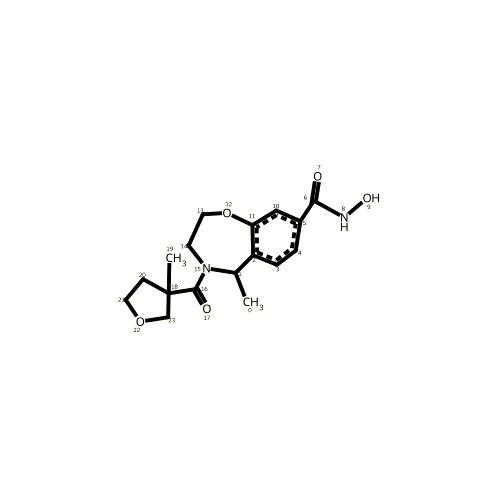 CC1c2ccc(C(=O)NO)cc2OCCN1C(=O)C1(C)CCOC1